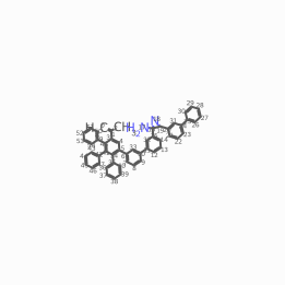 C=C(C)c1cc(-c2cccc(-c3cccc(C4(N)N=C4c4cccc(-c5ccccc5)c4)c3)c2)c(-c2ccccc2)c(-c2ccccc2)c1-c1ccccc1